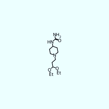 CCOC(CCN1CCC(NC(N)=O)CC1)OCC